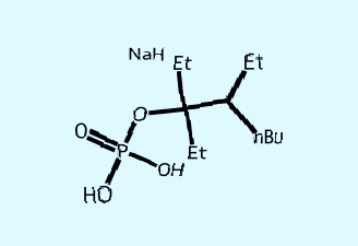 CCCCC(CC)C(CC)(CC)OP(=O)(O)O.[NaH]